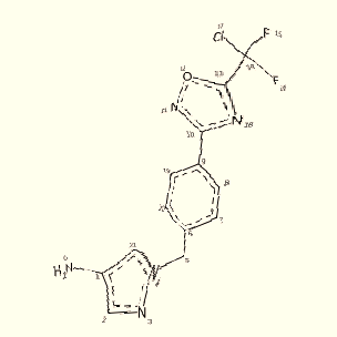 Nc1cnn(Cc2ccc(-c3noc(C(F)(F)Cl)n3)cc2)c1